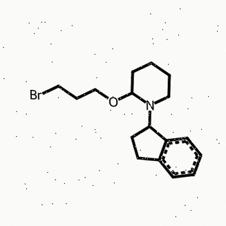 BrCCCOC1CCCCN1C1CCc2ccccc21